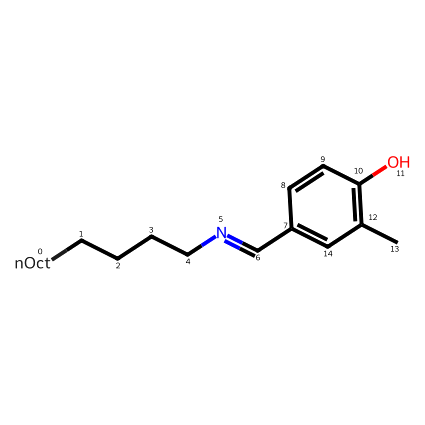 CCCCCCCCCCCCN=Cc1ccc(O)c(C)c1